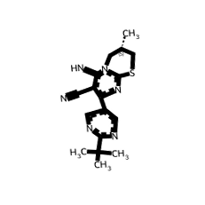 C[C@@H]1CSc2nc(-c3cnc(C(C)(C)C)nc3)c(C#N)c(=N)n2C1